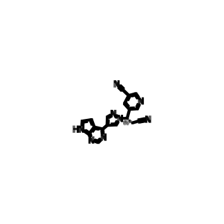 N#CC[C@@H](c1cncc(C#N)c1)n1cc(-c2ncnc3[nH]ccc23)cn1